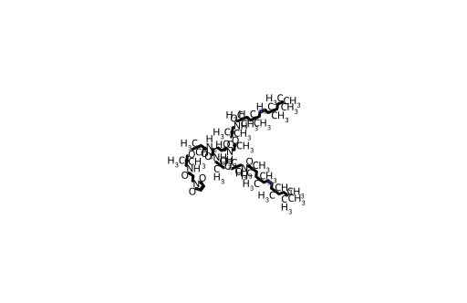 CC(C)(C)CCC(C)(C)C/C=C\CC(C)(C)CCC(C)(C)C(=O)NCC(C)(C)COCC(C)(C)CNC(=O)[C@H](CCC(=O)NCC(C)(C)OCC(C)(C)CNC(=O)C(C)(C)CCC(C)(C)C/C=C\CC(C)(C)CCC(C)(C)C)NC(=O)CC(C)(C)COCC(C)(C)CNC(=O)CCN1C(=O)C=CC1=O